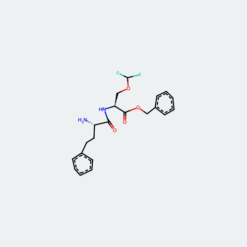 N[C@@H](CCc1ccccc1)C(=O)N[C@@H](COC(F)F)C(=O)OCc1ccccc1